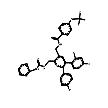 O=C(NCc1nc(-c2ccc(Br)cc2)c(-c2ccc(Cl)cc2Cl)cc1CNC(=O)c1ccc(SC(F)(F)F)cc1)Nc1ccccc1